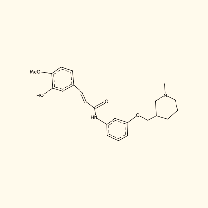 COc1ccc(/C=C/C(=O)Nc2cccc(OCC3CCCN(C)C3)c2)cc1O